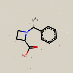 C[C@H](c1ccccc1)N1CCC1C(=O)O